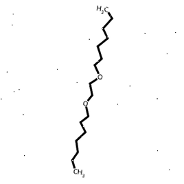 CCCCCCCOCCOCCCCCCC